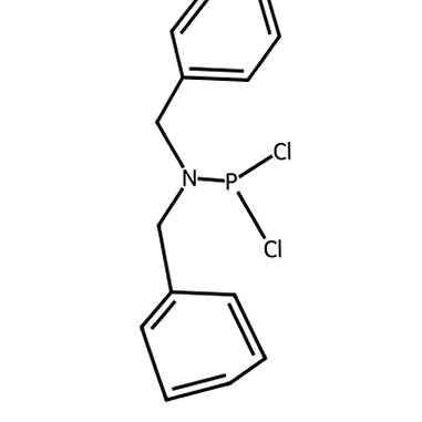 ClP(Cl)N(Cc1ccccc1)Cc1ccccc1